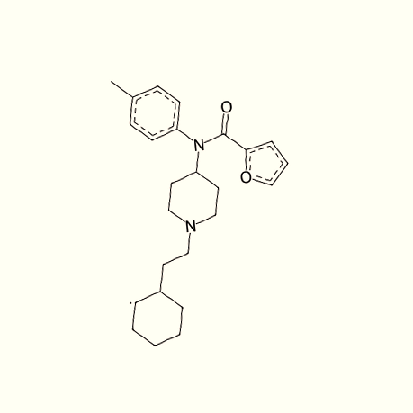 Cc1ccc(N(C(=O)c2ccco2)C2CCN(CCC3[CH]CCCC3)CC2)cc1